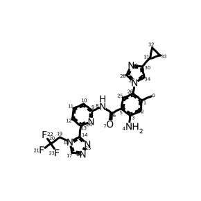 Cc1cc(N)c(C(=O)Nc2cccc(-c3nncn3CC(F)(F)F)n2)cc1-n1cnc(C2CC2)c1